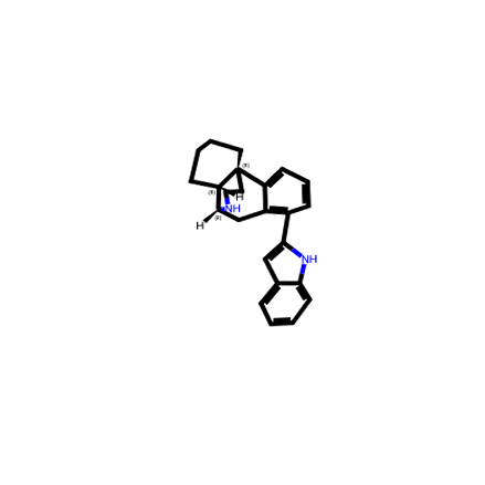 c1cc(-c2cc3ccccc3[nH]2)c2c(c1)[C@@]13CCCC[C@H]1[C@@H](C2)NCC3